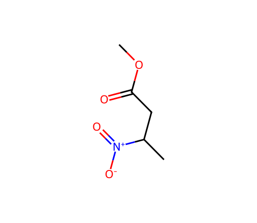 COC(=O)CC(C)[N+](=O)[O-]